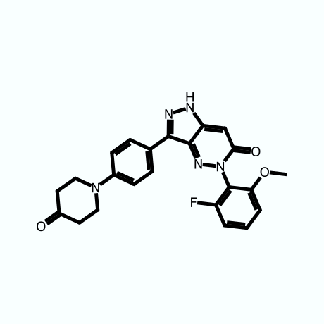 COc1cccc(F)c1-n1nc2c(-c3ccc(N4CCC(=O)CC4)cc3)n[nH]c2cc1=O